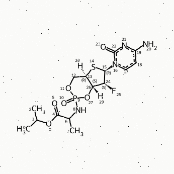 CC(C)OC(=O)C(C)NP1(=O)OC[C@H]2S[C@@H](n3ccc(N)nc3=O)[C@@H](F)[C@@H]2O1